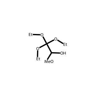 CCOC(OCC)(OCC)C(O)OC